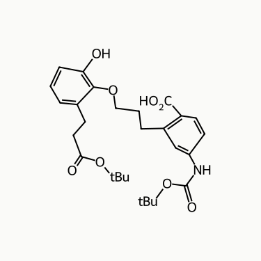 CC(C)(C)OC(=O)CCc1cccc(O)c1OCCCc1cc(NC(=O)OC(C)(C)C)ccc1C(=O)O